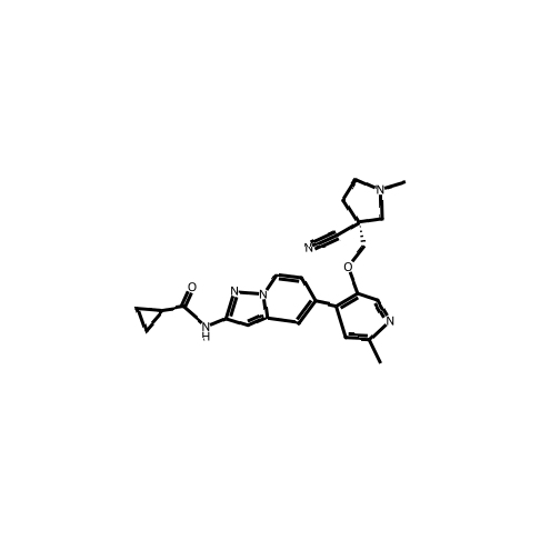 Cc1cc(-c2ccn3nc(NC(=O)C4CC4)cc3c2)c(OC[C@]2(C#N)CCN(C)C2)cn1